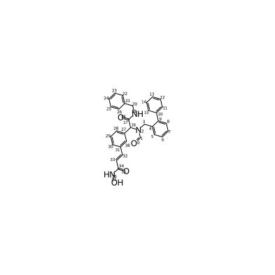 O=CN(Cc1ccccc1-c1ccccc1)C(C(=O)NCc1ccccc1)c1cccc(C=CC(=O)NO)c1